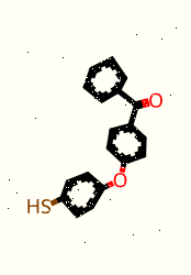 O=C(c1ccccc1)c1ccc(Oc2ccc(S)cc2)cc1